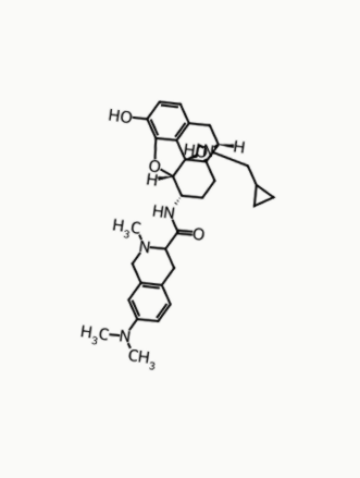 CN(C)c1ccc2c(c1)CN(C)C(C(=O)N[C@H]1CC[C@@]3(O)[C@H]4Cc5ccc(O)c6c5[C@@]3(CCN4CC3CC3)[C@H]1O6)C2